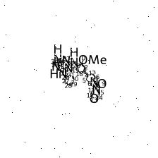 COc1cc(C2CCN(C(=O)N3CCOCC3)CC2)ccc1Nc1nc(NC2CCCCC2)c2nc[nH]c2n1